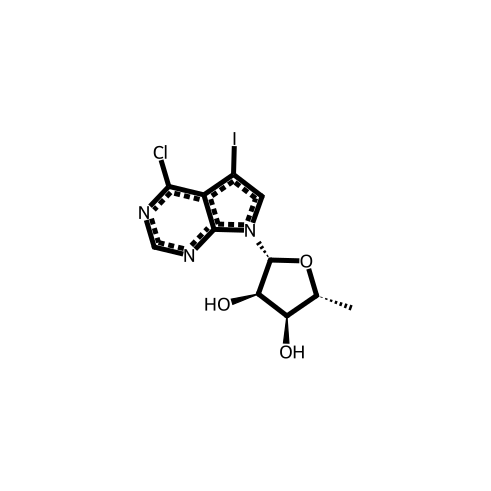 C[C@H]1O[C@@H](n2cc(I)c3c(Cl)ncnc32)[C@H](O)[C@@H]1O